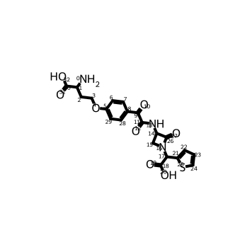 NC(CCOc1ccc(C(=O)C(=O)NC2CN(C(C(=O)O)c3cccs3)C2=O)cc1)C(=O)O